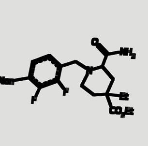 CCCCCCCCCc1ccc(CN2CCC(CC)(C(=O)OCC)CC2C(N)=O)c(F)c1F